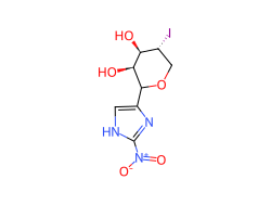 O=[N+]([O-])c1nc(C2OC[C@@H](I)[C@H](O)[C@@H]2O)c[nH]1